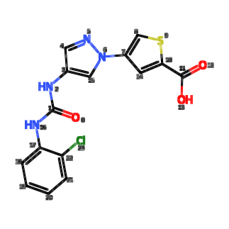 O=C(Nc1cnn(-c2csc(C(=O)O)c2)c1)Nc1ccccc1Cl